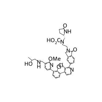 COc1nc(-c2cccc(-c3ccnc(-c4ccc5c(c4)CN(CCN(C[C@@H]4CCC(=O)N4)C(=O)O)C5=O)c3Cl)c2Cl)ccc1CNCC(C)O